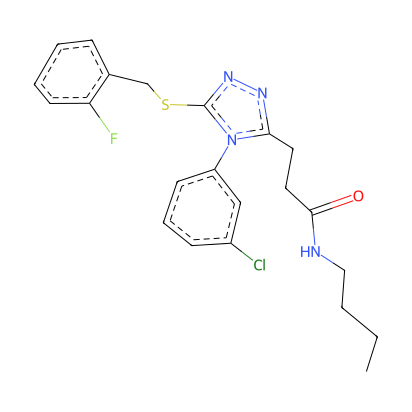 CCCCNC(=O)CCc1nnc(SCc2ccccc2F)n1-c1cccc(Cl)c1